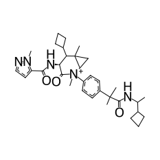 CC(NC(=O)C(C)(C)c1ccc([N+]2(C)C(=O)[C@@H](NC(=O)c3ccnn3C)C(C3CCC3)C3(C)CC32)cc1)C1CCC1